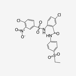 CCS(=O)(=O)c1ccc(NC(=O)c2cc(Cl)ccc2NS(=O)(=O)c2ccc(Cl)c([N+](=O)[O-])c2)cc1